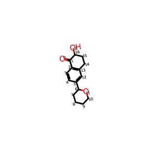 O=C1c2ccc(C3CCCCO3)cc2CCC1O